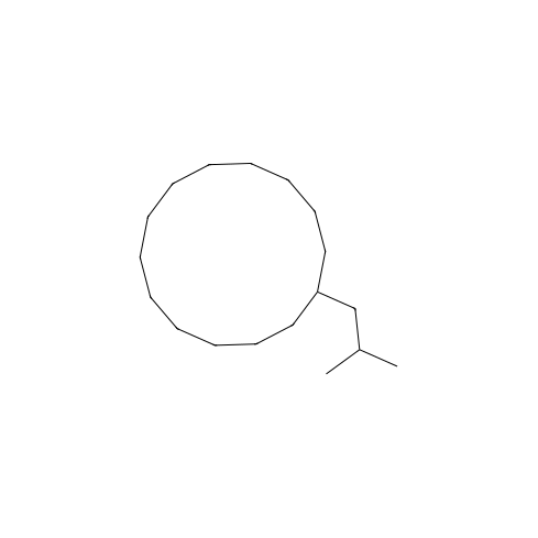 CC(C)CC1CCCCCCCCCCCCC1